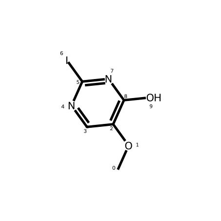 COc1cnc(I)nc1O